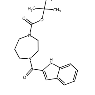 CC(C)(C)OC(=O)N1CCCN(C(=O)c2cc3ccccc3[nH]2)CC1